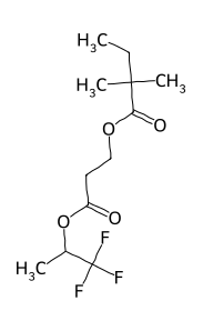 CCC(C)(C)C(=O)OCCC(=O)OC(C)C(F)(F)F